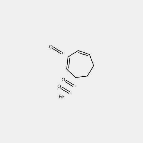 C1=CCCCC=C1.[C]=O.[C]=O.[C]=O.[Fe]